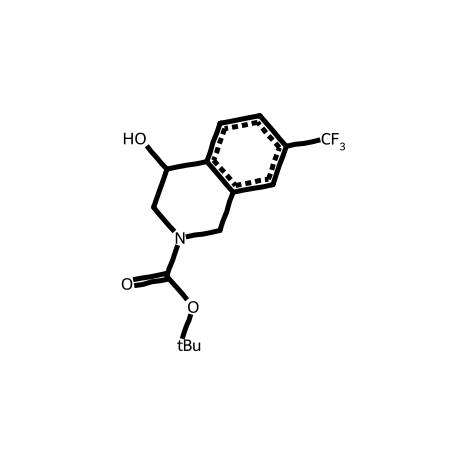 CC(C)(C)OC(=O)N1Cc2cc(C(F)(F)F)ccc2C(O)C1